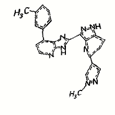 Cc1cccc(-c2ccnc3[nH]c(-c4n[nH]c5ccc(-c6cnn(C)c6)nc45)nc23)c1